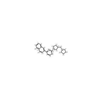 c1ccc2cc(-c3ccnc(N4CCC(CN5CCCC5)C4)n3)ccc2c1